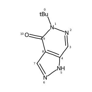 CC(C)(C)n1ncc2[nH]ncc2c1=O